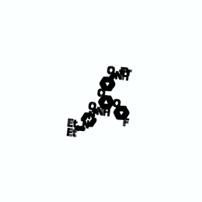 CCC(CC)CN1CCN(C(=O)Nc2cc(Oc3ccc(F)cc3)cc(Oc3ccc(C(=O)NC(C)C)cc3)c2)CC1